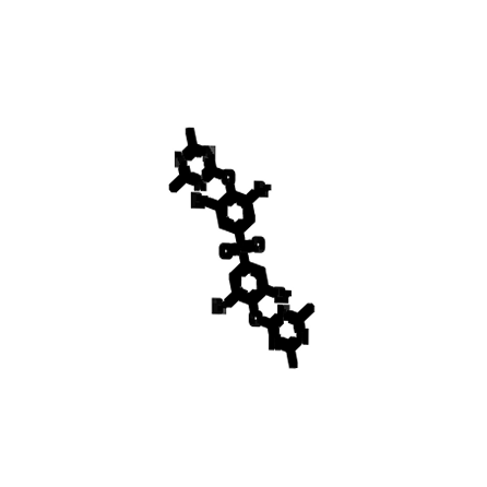 Cc1nc(C)nc(Oc2c(Br)cc(S(=O)(=O)c3cc(Br)c(Oc4nc(C)nc(C)n4)c(Br)c3)cc2Br)n1